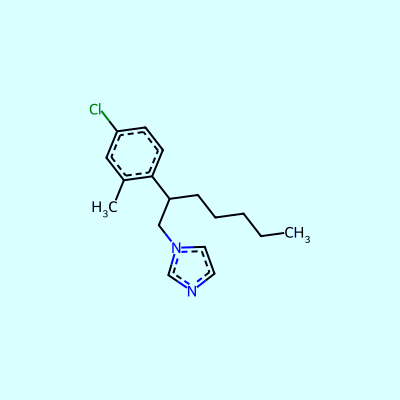 CCCCCC(Cn1ccnc1)c1ccc(Cl)cc1C